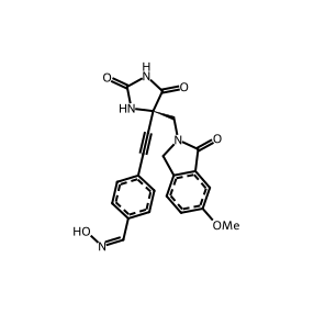 COc1ccc2c(c1)C(=O)N(C[C@@]1(C#Cc3ccc(/C=N\O)cc3)NC(=O)NC1=O)C2